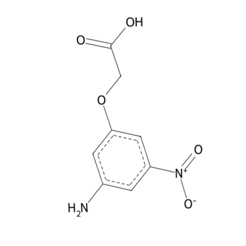 Nc1cc(OCC(=O)O)cc([N+](=O)[O-])c1